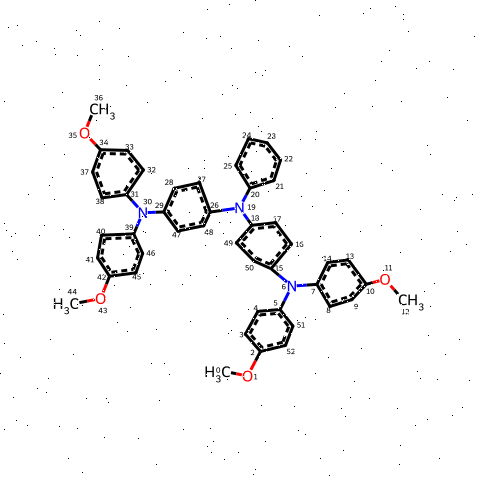 COc1ccc(N(c2ccc(OC)cc2)c2ccc(N(c3ccccc3)c3ccc(N(c4ccc(OC)cc4)c4ccc(OC)cc4)cc3)cc2)cc1